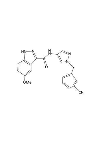 COc1ccc2[nH]nc(C(=O)Nc3cnn(Cc4cccc(C#N)c4)c3)c2c1